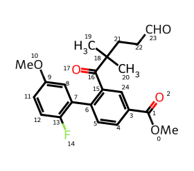 COC(=O)c1ccc(-c2cc(OC)ccc2F)c(C(=O)C(C)(C)CCC=O)c1